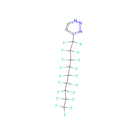 FC(F)(F)C(F)(F)C(F)(F)C(F)(F)C(F)(F)C(F)(F)C(F)(F)C(F)(F)C(F)(F)c1ccnnn1